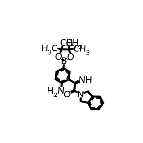 CC1(C)OB(c2ccc(N)c(C(=N)C(=O)N3Cc4ccccc4C3)c2)OC1(C)C